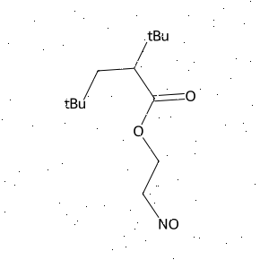 CC(C)(C)CC(C(=O)OCCN=O)C(C)(C)C